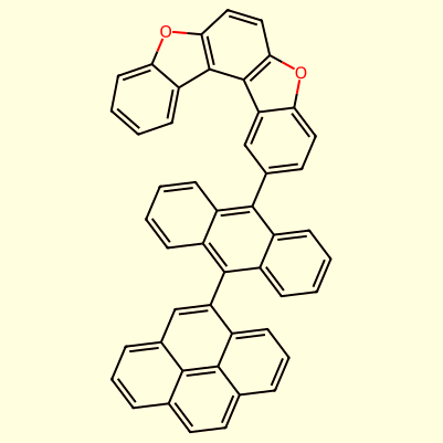 c1cc2ccc3cccc4c(-c5c6ccccc6c(-c6ccc7oc8ccc9oc%10ccccc%10c9c8c7c6)c6ccccc56)cc(c1)c2c34